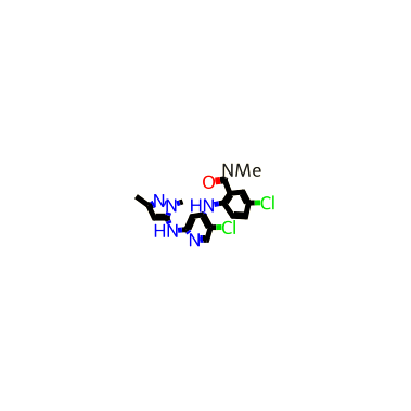 CNC(=O)c1cc(Cl)ccc1Nc1cc(Nc2cc(C)nn2C)ncc1Cl